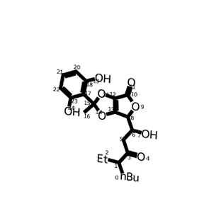 CCCCC(CC)C(=O)CC(O)C1OC(=O)C2=C1OC(C)(c1c(O)cccc1O)O2